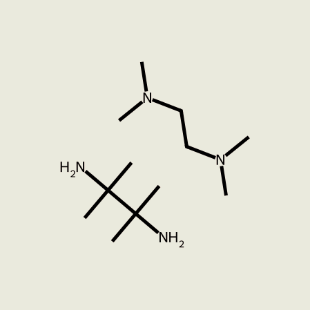 CC(C)(N)C(C)(C)N.CN(C)CCN(C)C